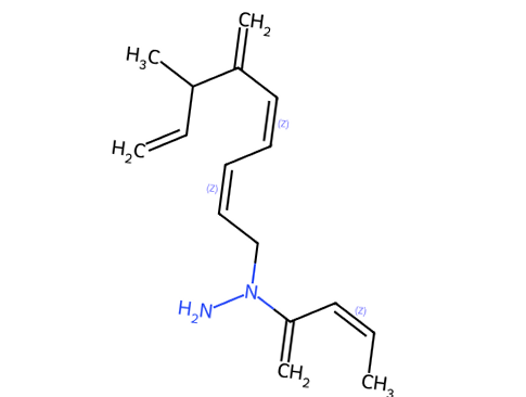 C=CC(C)C(=C)/C=C\C=C/CN(N)C(=C)/C=C\C